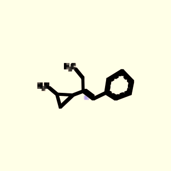 CC/C(=C\c1ccccc1)C1CC1N